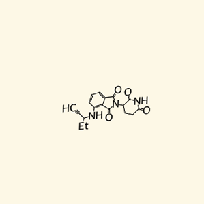 C#CC(CC)Nc1cccc2c1C(=O)N(C1CCC(=O)NC1=O)C2=O